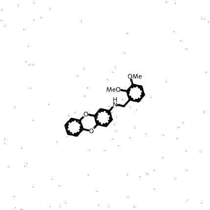 COc1cccc(CNc2ccc3c(c2)Oc2ccccc2O3)c1OC